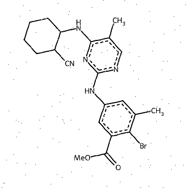 COC(=O)c1cc(Nc2ncc(C)c(NC3CCCCC3C#N)n2)cc(C)c1Br